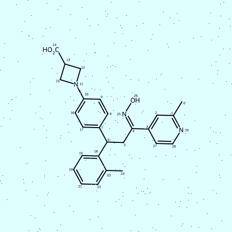 Cc1cc(C(CC(c2ccc(N3CC(C(=O)O)C3)cc2)c2ccccc2C)=NO)ccn1